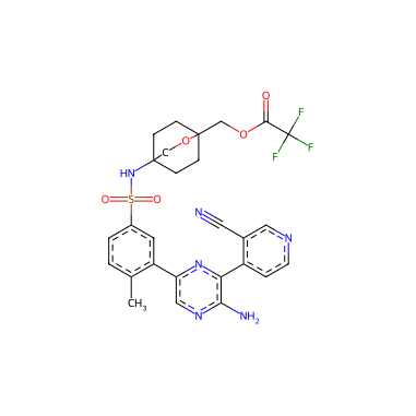 Cc1ccc(S(=O)(=O)NC23CCC(COC(=O)C(F)(F)F)(CC2)OC3)cc1-c1cnc(N)c(-c2ccncc2C#N)n1